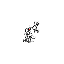 COC(=O)[C@]1(n2cn[nH]c2=O)CC[C@@](CO[C@H](C)c2cc(C(F)(F)F)cc(C(F)(F)F)c2)(c2ccccc2)NC1